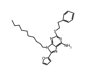 CCCCCCCCCCn1c(-c2ccco2)nc2c(N)nc(SCCc3ccccc3)nc21